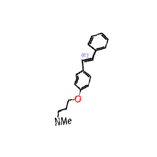 CNCCCOc1ccc(/C=C/c2ccccc2)cc1